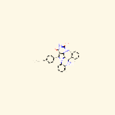 COc1ccc(-c2c3c(=O)n(C)c(=O)n(C)c3c3n2-c2ccccc2NC3c2ccccc2)cc1